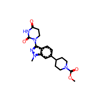 COC(=O)N1CCC(c2ccc3c(N4CCC(=O)NC4=O)nn(C)c3c2)CC1